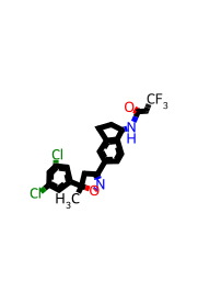 CC1(c2cc(Cl)cc(Cl)c2)CC(c2ccc3c(c2)CCC3NC(=O)CC(F)(F)F)=NO1